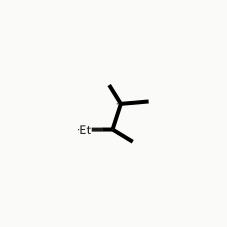 C[CH]C(C)[C](C)C